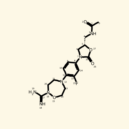 CC(=O)NC[C@H]1CN(c2ccc(N3CCON(C(=N)N)CC3)c(F)c2)C(=O)O1